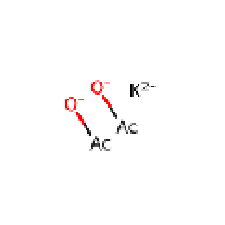 CC(=O)[O-].CC(=O)[O-].[K+2]